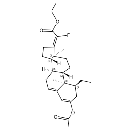 CCOC(=O)C(F)=C1CC[C@H]2[C@@H]3CC=C4C=C(OC(C)=O)C[C@H](CC)[C@]4(C)[C@H]3CC[C@]12C